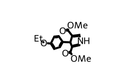 CCOc1ccc(C2C(C(=O)OC)=CNC=C2C(=O)OC)cc1